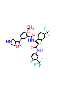 COc1ccc(C2=NOC3CNCC23)cc1C(=O)Nc1c(C(=O)Nc2ccc(F)c(C(F)(F)F)c2)sc2cc(C(F)(F)F)ccc12